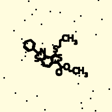 CCCSc1sc(C(=O)OCC)c2ccc3sc(C4=CCCC=C4)nc3c12